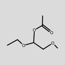 CCOC(COC)OC(C)=O